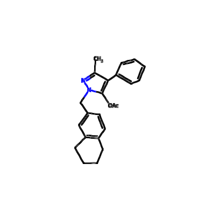 CC(=O)Oc1c(-c2ccccc2)c(C)nn1Cc1ccc2c(c1)CCCC2